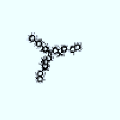 CC1(C)c2cc(-c3ccc4ccccc4c3)ccc2-c2ccc(N(c3ccc(-c4ccc(-c5ccccc5)cc4)cc3)c3ccc4c(c3)C(C)(C)c3cc(-c5ccc6ccccc6c5)ccc3-4)cc21